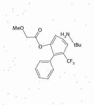 CC(C)(C)N.COCC(=O)Oc1cccc(C(F)(F)F)c1-c1ccccc1